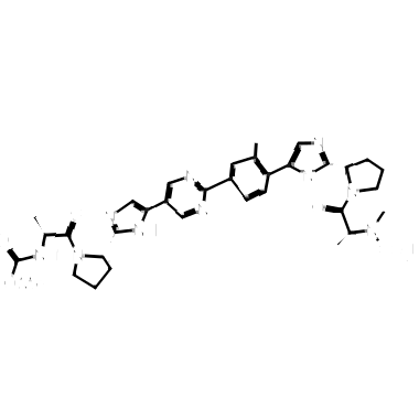 COC(=O)N[C@@H](C)C(=O)N1CCC[C@H]1c1ncc(-c2cnc(-c3ccc(-c4cnc([C@@H]5CCCN5C(=O)[C@H](C)N(C)C(=O)O)[nH]4)c(F)c3)nc2)[nH]1